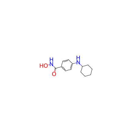 O=C(NO)c1ccc(NC2CCCCC2)cc1